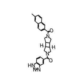 Cc1ccc2cc(C(=O)N3CC4C(C3)[C@@H]3CN(C(=O)c5ccc6[nH]nnc6c5)C[C@H]43)ccc2c1